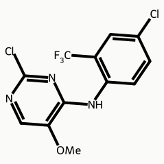 COc1cnc(Cl)nc1Nc1ccc(Cl)cc1C(F)(F)F